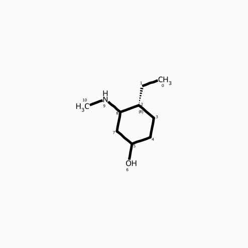 CC[C@@H]1CCC(O)CC1NC